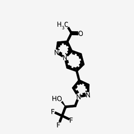 CC(=O)c1cnn2cc(-c3cnn(C[C@H](O)C(F)(F)F)c3)ccc12